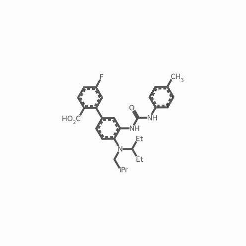 CCC(CC)N(CC(C)C)c1ccc(-c2cc(F)ccc2C(=O)O)cc1NC(=O)Nc1ccc(C)cc1